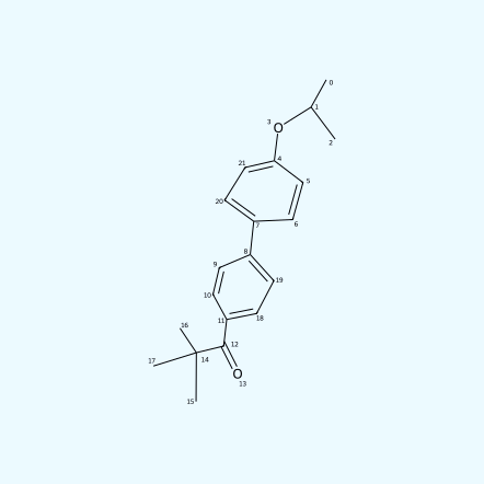 CC(C)Oc1ccc(-c2ccc(C(=O)C(C)(C)C)cc2)cc1